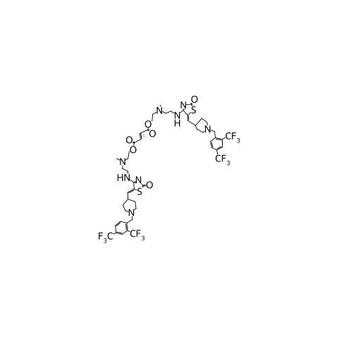 CN(CCNC1=NC(=O)SC1=CC1CCN(Cc2ccc(C(F)(F)F)cc2C(F)(F)F)CC1)CCOC(=O)/C=C/C(=O)OCCN(C)CCNC1=NC(=O)SC1=CC1CCN(Cc2ccc(C(F)(F)F)cc2C(F)(F)F)CC1